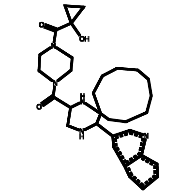 O=C(C1CNC(c2cnc3ccccc3c2)C2(CCCCCCCCC2)N1)N1CCN(C(=O)C2(O)CC2)CC1